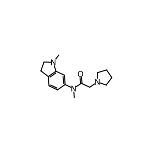 CN1CCc2ccc(N(C)C(=O)CN3CCCC3)cc21